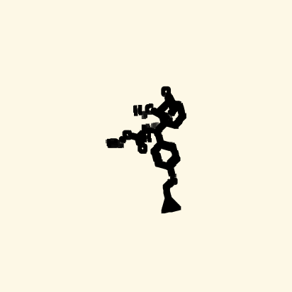 CN1C(=O)C2CCC1([C@H](NC(=O)OC(C)(C)C)c1ccc(SCC3CC3)cc1)CC2